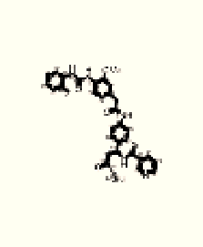 COc1cc(CC(=O)Nc2ccc(C(CC(=O)OC(C)(C)C)NC(=O)c3cccnc3)cc2)ccc1NC(=O)Nc1ccccc1C